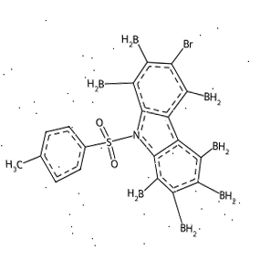 Bc1c(B)c(B)c2c(c1B)c1c(B)c(Br)c(B)c(B)c1n2S(=O)(=O)c1ccc(C)cc1